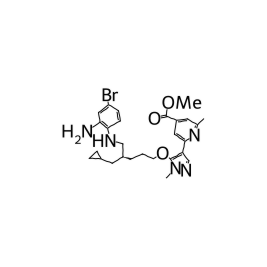 COC(=O)c1cc(C)nc(-c2cnn(C)c2OCCC[C@H](CNc2ccc(Br)cc2N)CC2CC2)c1